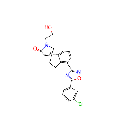 O=C1C[C@@]2(CCc3c(-c4noc(-c5cccc(Cl)c5)n4)cccc32)CN1CCO